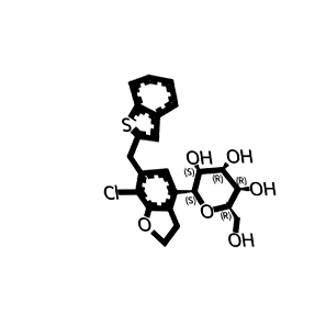 OC[C@H]1O[C@@H](c2cc(Cc3cc4ccccc4s3)c(Cl)c3c2CCO3)[C@@H](O)[C@@H](O)[C@H]1O